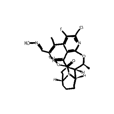 Cc1c(/C=N/O)nc2c3c(nc(Cl)c(F)c13)O[C@@H](C)[C@@H]1[C@@H]3CC[C@H](CN21)N3C(=O)OC(C)(C)C